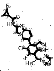 C[C@@H](c1c(F)c(Cl)c(-c2ccc3nc(NC(=O)C4CC4F)cn3c2)c2cn[nH]c12)n1ncnn1